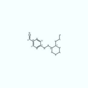 CCCC1CCCCC1CCc1ccc(C=O)cc1